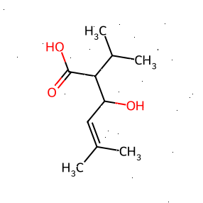 CC(C)=CC(O)C(C(=O)O)C(C)C